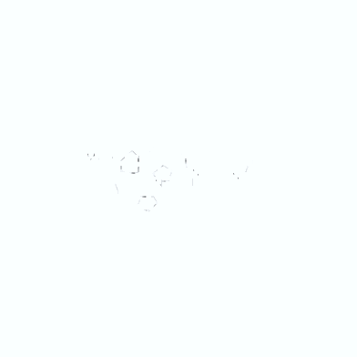 COc1cc2c(cc1C=C(C)C)-c1c(c(C(=O)NCCCNC(=O)C3CCC3)cn1-c1ccsc1)CO2